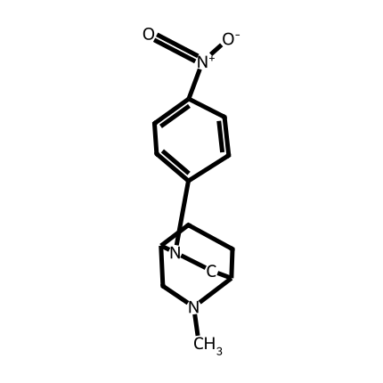 CN1CC2CCC1CN2c1ccc([N+](=O)[O-])cc1